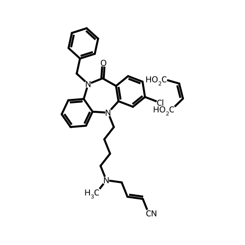 CN(C/C=C/C#N)CCCCN1c2cc(Cl)ccc2C(=O)N(Cc2ccccc2)c2ccccc21.O=C(O)/C=C\C(=O)O